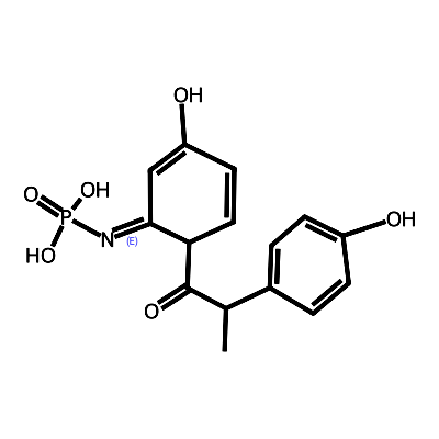 CC(C(=O)C1C=CC(O)=C/C1=N\P(=O)(O)O)c1ccc(O)cc1